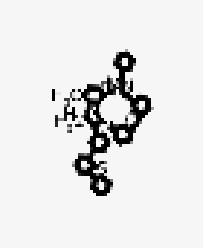 CC1C=CC2(C)C3=C1C(C)c1c(n(c4ccc(-c5cccc6c5sc5ccccc56)cc14)-c1cccc4c1oc1c(cccc14)-c1nc(-c4ccccc4)nc2n1)C3C